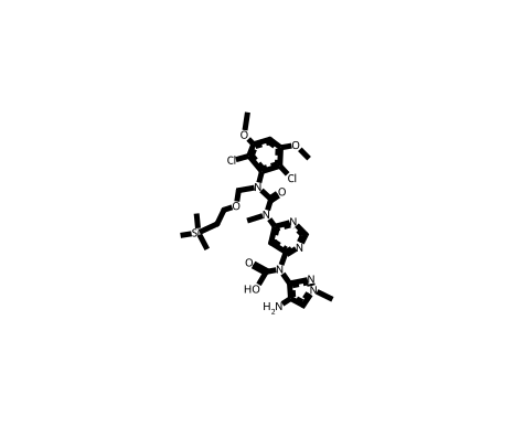 COc1cc(OC)c(Cl)c(N(COCC[Si](C)(C)C)C(=O)N(C)c2cc(N(C(=O)O)c3nn(C)cc3N)ncn2)c1Cl